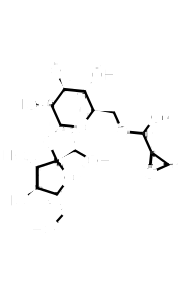 OC[C@H]1O[C@@](CO)(O[C@H]2O[C@H](COC(Cl)C3CO3)[C@@H](O)[C@H](O)[C@H]2O)[C@@H](O)[C@@H]1O